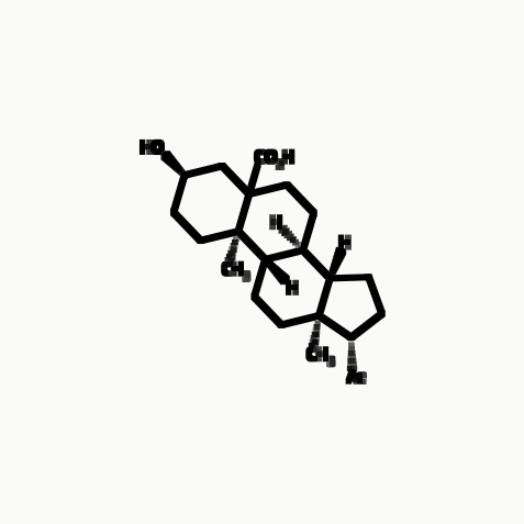 CC(=O)[C@H]1CC[C@H]2[C@@H]3CCC4(C(=O)O)C[C@H](O)CC[C@]4(C)[C@H]3CC[C@]12C